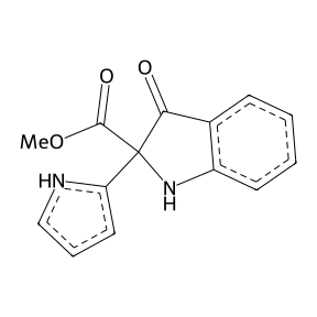 COC(=O)C1(c2ccc[nH]2)Nc2ccccc2C1=O